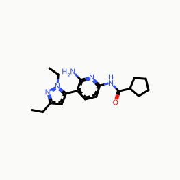 CCc1cc(-c2ccc(NC(=O)C3CCCC3)nc2N)n(CC)n1